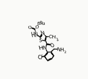 Cc1nc(NC(=O)OC(C)(C)C)sc1C(=O)Nc1c(Cl)cccc1CN